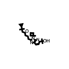 CC(C)(O)c1ccc2nc(CCCC(=O)CC(C)(C)C3CC3)n(C3(C)CCC3)c2n1